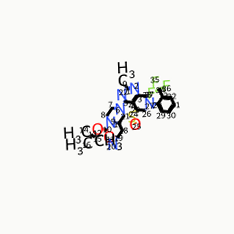 Cc1nc2c(c(N3CCN(C(=O)OC(C)(C)C)C(CC#N)C3)n1)C(=S=O)CN(c1ccccc1C(F)(F)F)C2